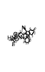 Cc1ccc2c(c1)c(C#N)c(-c1ccc(S(=O)(=O)N[C@@H](C)CF)cn1)n2C1CCCCC1